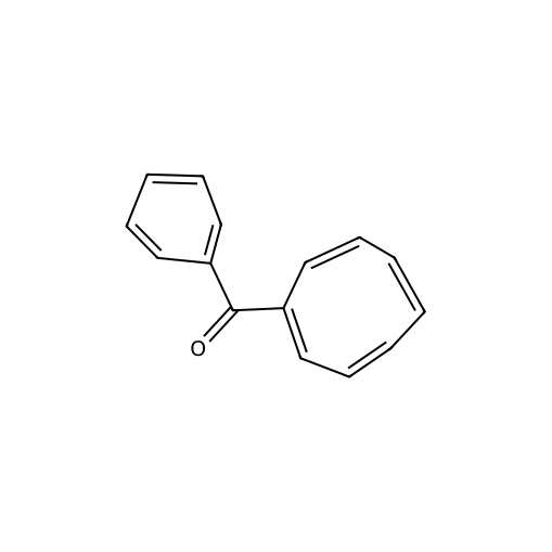 O=C(C1=C/C=C\C=C/C=C\1)c1ccccc1